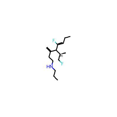 C=C(CCNCCC)C(C(F)=CCC)[C@@H](C)CF